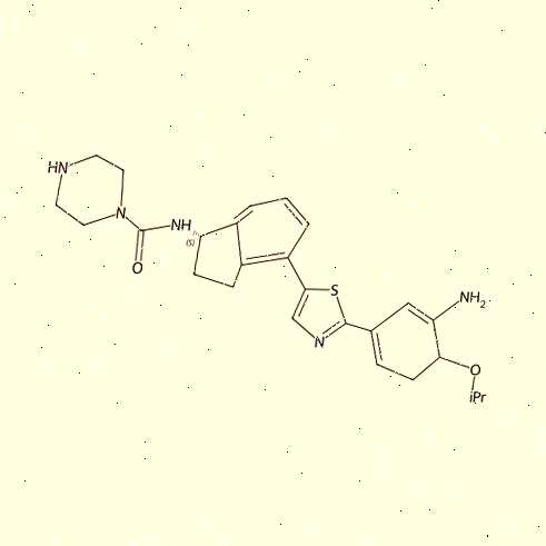 CC(C)OC1CC=C(c2ncc(-c3cccc4c3CC[C@@H]4NC(=O)N3CCNCC3)s2)C=C1N